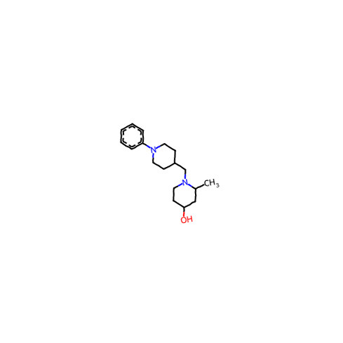 CC1CC(O)CCN1CC1CCN(c2ccccc2)CC1